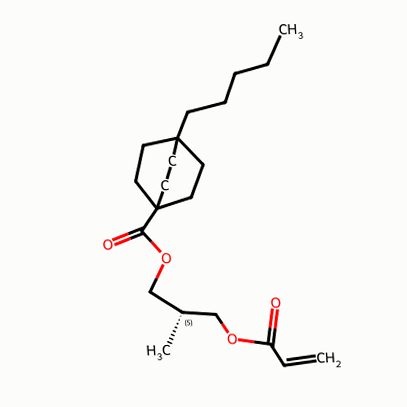 C=CC(=O)OC[C@H](C)COC(=O)C12CCC(CCCCC)(CC1)CC2